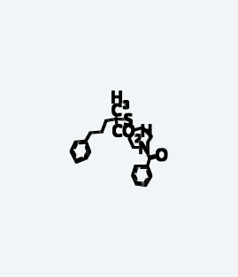 CC(CCCc1ccccc1)(SC1CCN(C(=O)c2ccccc2)CC1)C(=O)O